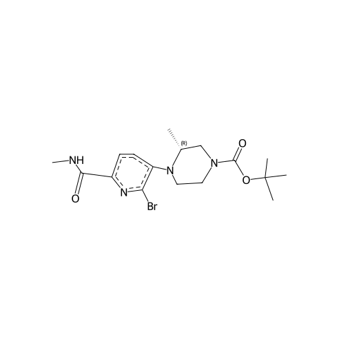 CNC(=O)c1ccc(N2CCN(C(=O)OC(C)(C)C)C[C@H]2C)c(Br)n1